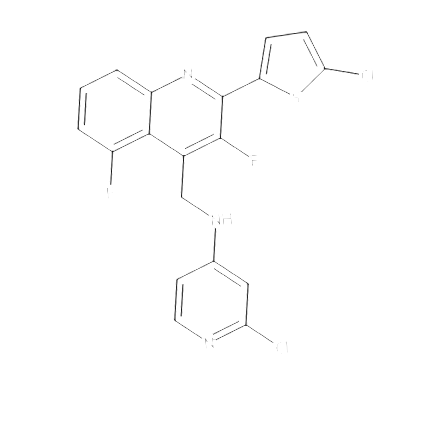 Fc1c(-c2ccc(Cl)s2)nc2cccc(F)c2c1CNc1ccnc(Cl)c1